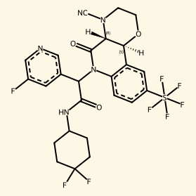 N#CN1CCO[C@H]2c3cc(S(F)(F)(F)(F)F)ccc3N(C(C(=O)NC3CCC(F)(F)CC3)c3cncc(F)c3)C(=O)[C@@H]21